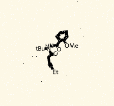 CCC#CCC(=O)N(NC(=O)c1ccccc1OC)C(C)(C)C